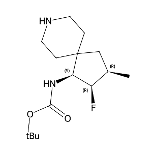 C[C@@H]1CC2(CCNCC2)[C@H](NC(=O)OC(C)(C)C)[C@@H]1F